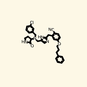 N#Cc1ccc(OCCCc2ccccc2)cc1Cc1ncc(CN(Cc2cccc(Cl)c2)C2CCNC2=O)[nH]1